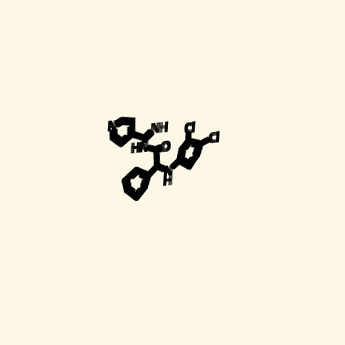 N=C(NC(=O)C(Nc1ccc(Cl)c(Cl)c1)c1ccccc1)c1ccncc1